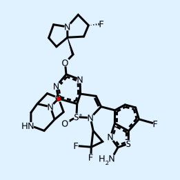 Nc1nc2c(C3=Cc4nc(OC[C@@]56CCCN5C[C@H](F)C6)nc(N5C6CNCC5COC6)c4[S+]([O-])N3C3CC3(F)F)ccc(F)c2s1